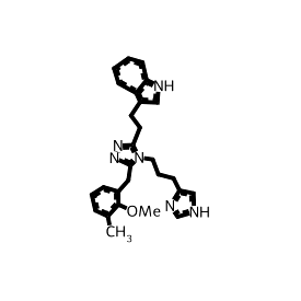 COc1c(C)cccc1Cc1nnc(CCc2c[nH]c3ccccc23)n1CCCc1c[nH]cn1